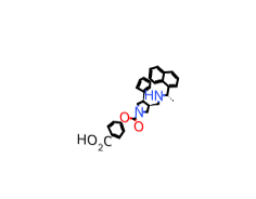 C[C@H](NC[C@H]1CN(C(=O)Oc2ccc(C(=O)O)cc2)C[C@H]1c1ccccc1)c1cccc2ccccc12